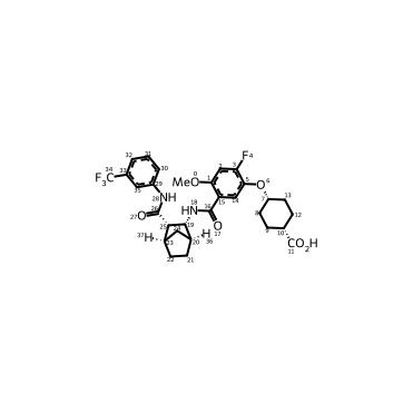 COc1cc(F)c(O[C@H]2CC[C@@H](C(=O)O)CC2)cc1C(=O)N[C@@H]1[C@H]2CC[C@H](C2)[C@@H]1C(=O)Nc1cccc(C(F)(F)F)c1